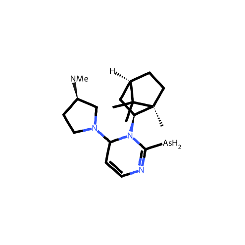 CN[C@@H]1CCN(C2C=CN=C([AsH2])N2[C@H]2C[C@H]3CC[C@]2(C)C3(C)C)C1